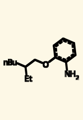 CCCCC(CC)COc1ccccc1N